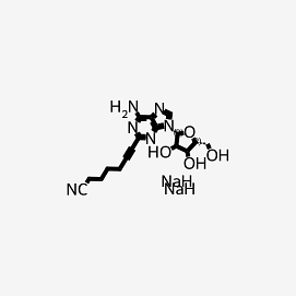 N#CCCCCC#Cc1nc(N)c2ncn([C@@H]3O[C@H](CO)C(O)C3O)c2n1.[NaH].[NaH]